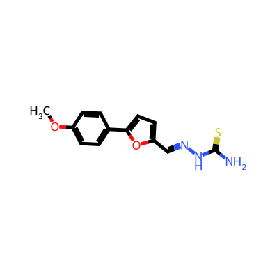 COc1ccc(-c2ccc(/C=N/NC(N)=S)o2)cc1